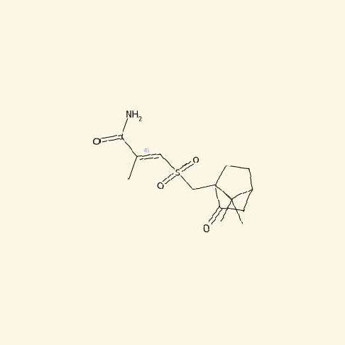 C/C(=C\S(=O)(=O)CC12CCC(CC1=O)C2(C)C)C(N)=O